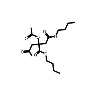 CCCCOC(=O)CC(CC(C)=O)(OC(C)=O)C(=O)OCCCC